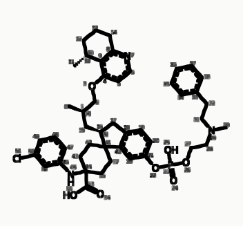 C[C@@H](COc1ccnc2c1[C@H](C)CCC2)C[C@H]1Cc2ccc(OP(=O)(O)OCCN(C)CCc3ccccc3)cc2C12CCC(Nc1cccc(Cl)c1)(C(=O)O)CC2